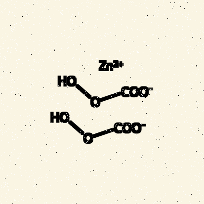 O=C([O-])OO.O=C([O-])OO.[Zn+2]